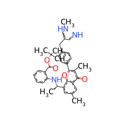 CN/C=C(\C=N)Cc1ccc(-c2oc3c([C@@H](C)Nc4ccccc4C(=O)OC(C)(C)C)cc(C)cc3c(=O)c2C)cc1